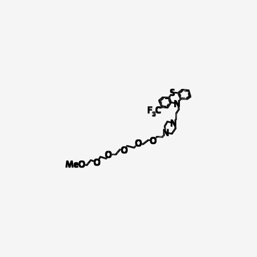 COCCOCCOCCOCCOCCOCCN1CCN(CCCN2c3ccccc3Sc3ccc(C(F)(F)F)cc32)CC1